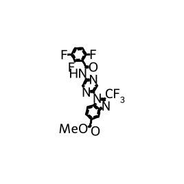 COC(=O)c1ccc2c(c1)nc(C(F)(F)F)n2-c1cnc(NC(=O)c2c(F)ccc(F)c2F)cn1